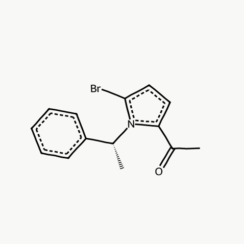 CC(=O)c1ccc(Br)n1[C@H](C)c1ccccc1